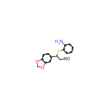 Nc1ccccc1SC(CN=O)c1ccc2c(c1)OCO2